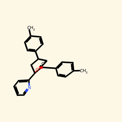 Cc1ccc(C2CC3(c4ccccn4)CC(c4ccc(C)cc4)C2CO3)cc1